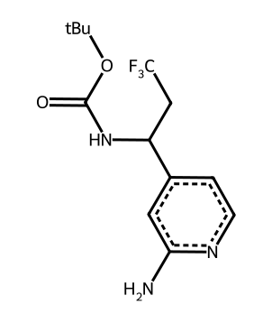 CC(C)(C)OC(=O)NC(CC(F)(F)F)c1ccnc(N)c1